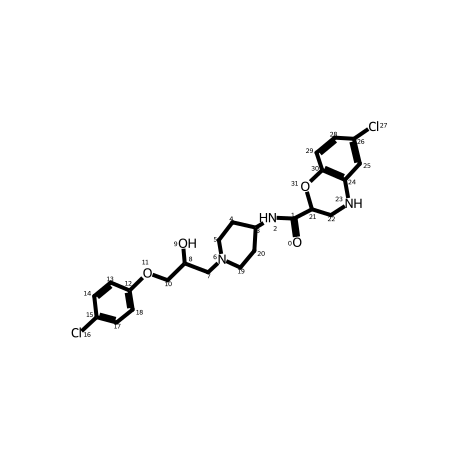 O=C(NC1CCN(CC(O)COc2ccc(Cl)cc2)CC1)C1CNc2cc(Cl)ccc2O1